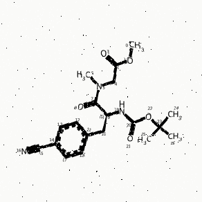 COC(=O)CN(C)C(=O)[C@H](Cc1ccc(C#N)cc1)NC(=O)OC(C)(C)C